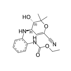 CCOC(=O)Nc1ccccc1N[C@@H]1C=C(C#N)OC(C)(C)[C@H]1O